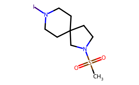 CS(=O)(=O)N1CCC2(CCN(I)CC2)C1